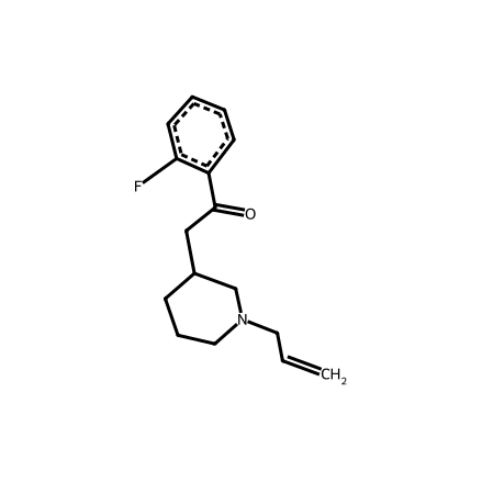 C=CCN1CCCC(CC(=O)c2ccccc2F)C1